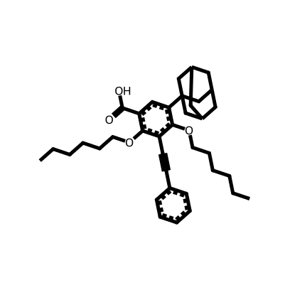 CCCCCCOc1c(C(=O)O)cc(C23CC4CC(CC(C4)C2)C3)c(OCCCCCC)c1C#Cc1ccccc1